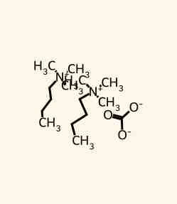 CCCC[N+](C)(C)C.CCCC[N+](C)(C)C.O=C([O-])[O-]